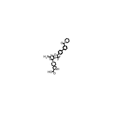 Nc1nc(O[C@H](c2ccc(-c3cccc(C(=O)N4CCCCC4)c3)cc2)C(F)(F)F)cc(N2CCC3(CC2)CNC(C(=O)O)C3)n1